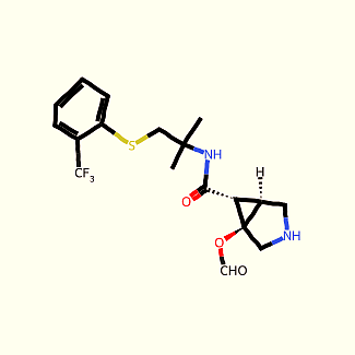 CC(C)(CSc1ccccc1C(F)(F)F)NC(=O)[C@@H]1[C@H]2CNC[C@@]21OC=O